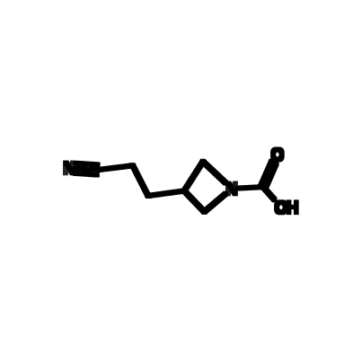 N#CCCC1CN(C(=O)O)C1